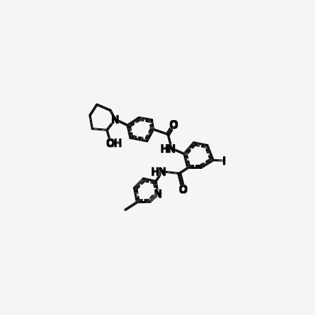 Cc1ccc(NC(=O)c2cc(I)ccc2NC(=O)c2ccc(N3CCCCC3O)cc2)nc1